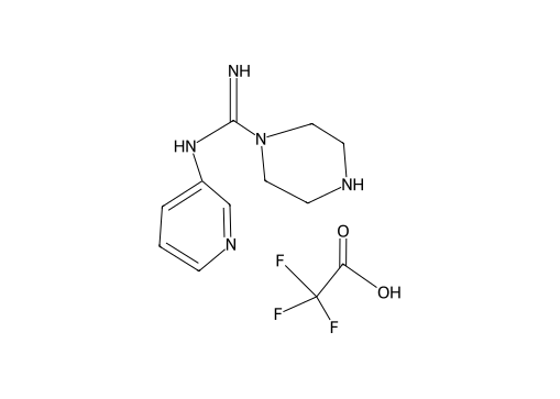 N=C(Nc1cccnc1)N1CCNCC1.O=C(O)C(F)(F)F